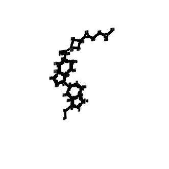 CCc1cnc2ncc(-c3ccn4nc(N[C@H]5C[C@H](OCCOC)C5)ncc34)cn12